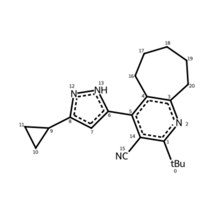 CC(C)(C)c1nc2c(c(-c3cc(C4CC4)n[nH]3)c1C#N)CCCCC2